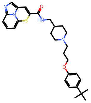 CC(C)(C)c1ccc(OCCCN2CCC(CNC(=O)C3=Cc4cnc5cccc(n45)S3)CC2)cc1